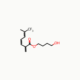 C=C(/C=C\C=C(/C)C(F)(F)F)C(=O)OCCCCO